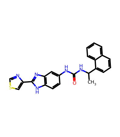 CC(NC(=O)Nc1ccc2[nH]c(-c3cscn3)nc2c1)c1cccc2ccccc12